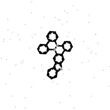 c1ccc2c(c1)B1c3cc4c(cc3-c3ccccc3N1c1ccccc1-2)sc1ccccc14